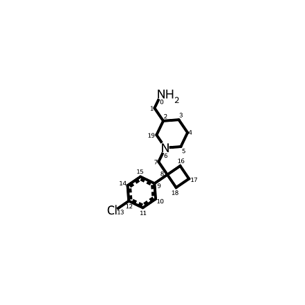 NCC1CCCN(CC2(c3ccc(Cl)cc3)CCC2)C1